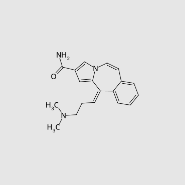 CN(C)CCC=C1c2ccccc2C=Cn2cc(C(N)=O)cc21